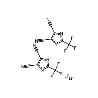 N#Cc1nc(C(F)(F)F)[n-]c1C#N.N#Cc1nc(C(F)(F)F)[n-]c1C#N.[Li+].[Li+]